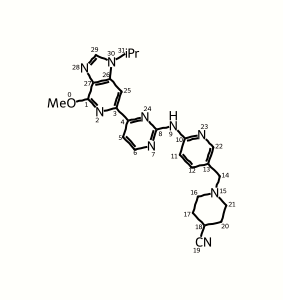 COc1nc(-c2ccnc(Nc3ccc(CN4CCC(C#N)CC4)cn3)n2)cc2c1ncn2C(C)C